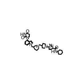 O=C1CCN(c2cccc3c2ccn3CC2CCCN(CC3CCN(c4ccc(C(=O)NC5CCCCC5)nn4)CC3)C2)C(=O)N1